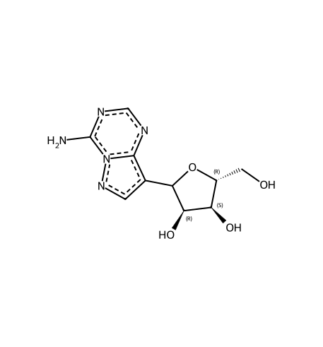 Nc1ncnc2c(C3O[C@H](CO)[C@@H](O)[C@H]3O)cnn12